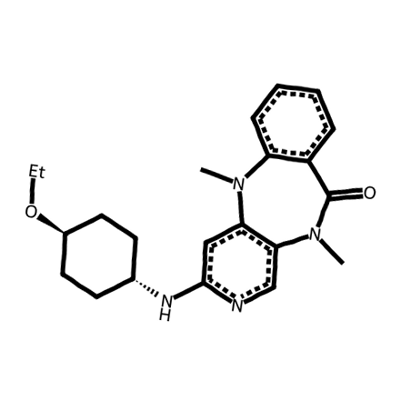 CCO[C@H]1CC[C@H](Nc2cc3c(cn2)N(C)C(=O)c2ccccc2N3C)CC1